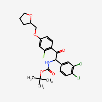 CC(C)(C)OC(=O)NC(C(=O)c1ccc(OCC2CCCO2)cc1F)c1ccc(Cl)c(Cl)c1